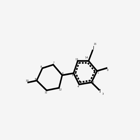 Cc1c(I)cc(C2CCC(C)CC2)cc1I